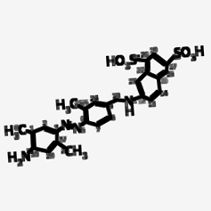 Cc1cc(N=Nc2ccc(CNc3ccc4cc(S(=O)(=O)O)cc(S(=O)(=O)O)c4c3)cc2C)c(C)cc1N